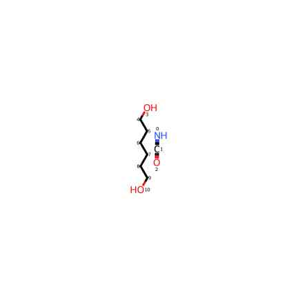 N=C=O.OCCCCCCO